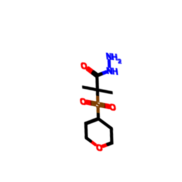 CC(C)(C(=O)NN)S(=O)(=O)C1CCOCC1